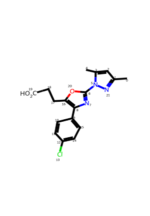 Cc1cc(C)n(-c2nc(-c3ccc(Cl)cc3)c(CCC(=O)O)o2)n1